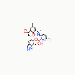 Cc1cc(C(C)Nc2ccc(Cl)nc2C(=O)O)c2oc(-c3cc(C)c4nn(C)cc4c3)cc(=O)c2c1